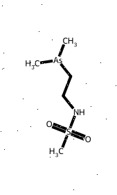 C[As](C)CCNS(C)(=O)=O